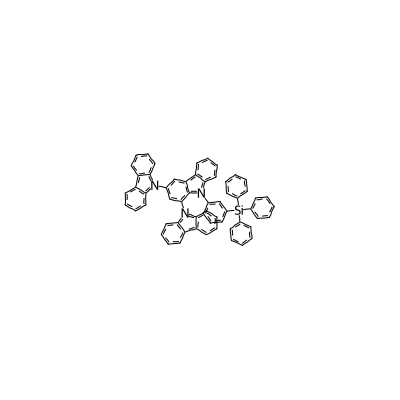 c1ccc([Si](c2ccccc2)(c2ccccc2)c2cccc(-n3c4ccccc4c4cc(-n5c6ccccc6c6ccccc65)cc(-n5c6ccccc6c6ccccc65)c43)c2)cc1